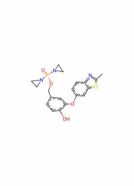 Cc1nc2ccc(Oc3cc(COP(=O)(N4CC4)N4CC4)ccc3O)cc2s1